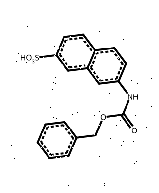 O=C(Nc1ccc2ccc(S(=O)(=O)O)cc2c1)OCc1ccccc1